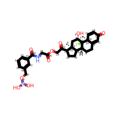 C[C@]12C[C@H](O)C3(F)[C@@H](CCC4=CC(=O)C=C[C@@]43C)C1CCC2C(=O)COC(=O)CNC(=O)c1cccc(CON(O)O)c1